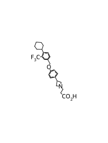 O=C(O)CCN1CC(c2ccc(OCc3ccc(C4CCCCC4)c(C(F)(F)F)c3)cc2)C1